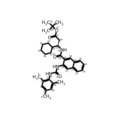 Cc1cc(C)c(NC(=O)Nc2cc3ccccc3cc2C(=O)N[C@H](CC(=O)OC(C)(C)C)C2CCCCC2)c(C)c1